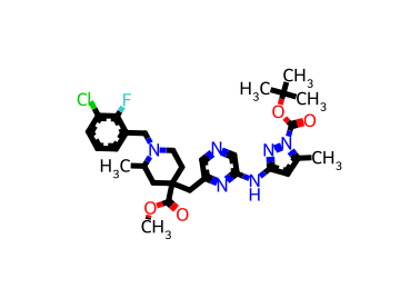 COC(=O)C1(Cc2cncc(Nc3cc(C)n(C(=O)OC(C)(C)C)n3)n2)CCN(Cc2cccc(Cl)c2F)C(C)C1